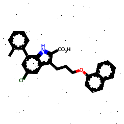 Cc1ccccc1-c1cc(Cl)cc2c(CCCOc3cccc4ccccc34)c(C(=O)O)[nH]c12